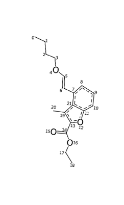 CCCCOC=Cc1cccc2oc(C(=O)OCC)c(C)c12